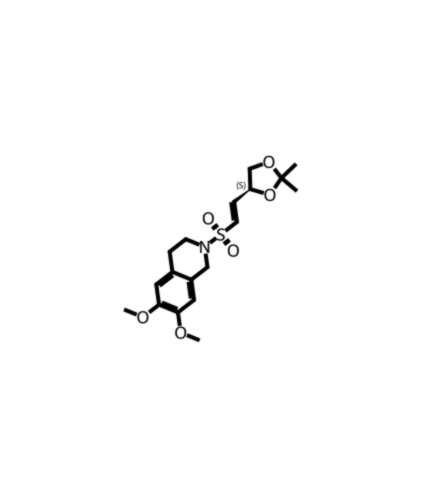 COc1cc2c(cc1OC)CN(S(=O)(=O)C=C[C@H]1COC(C)(C)O1)CC2